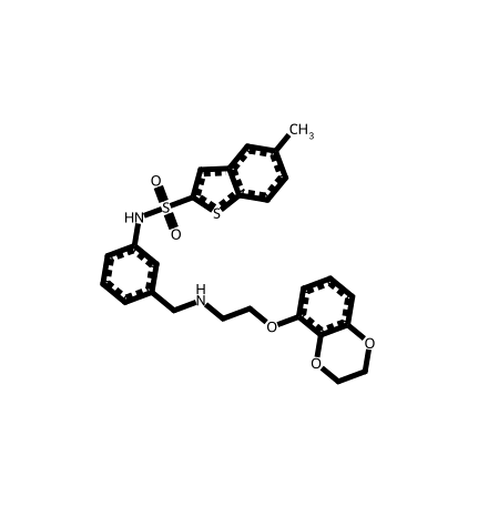 Cc1ccc2sc(S(=O)(=O)Nc3cccc(CNCCOc4cccc5c4OCCO5)c3)cc2c1